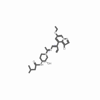 C=C/C(=C\N=C(/C)N1CC[C@H](NC(=O)CC(C)C)[C@@H](O)C1)c1cc(OCC)cn2ncc(Cl)c12